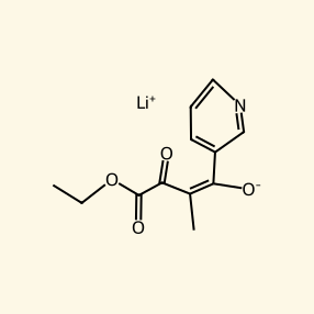 CCOC(=O)C(=O)C(C)=C([O-])c1cccnc1.[Li+]